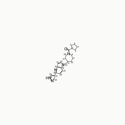 O=C(C1CCCC1)N1CCCC(Cn2ccc3nc(-c4cn[nH]c4)ccc32)CC1